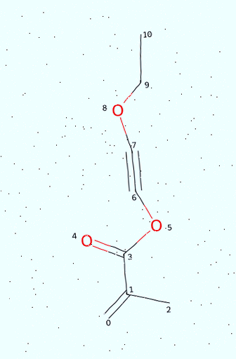 C=C(C)C(=O)OC#COCC